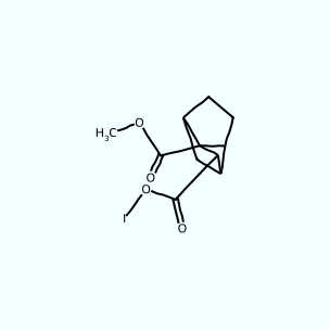 COC(=O)C12C3CCC1C(C3)C2C(=O)OI